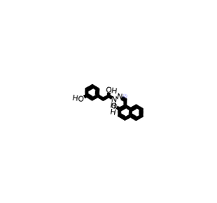 Oc1cccc(CC(O)N/N=C\c2c(O)ccc3ccccc23)c1